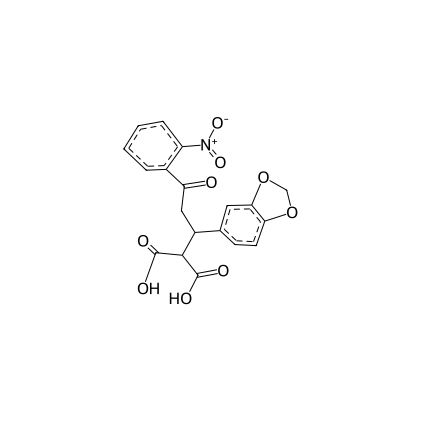 O=C(CC(c1ccc2c(c1)OCO2)C(C(=O)O)C(=O)O)c1ccccc1[N+](=O)[O-]